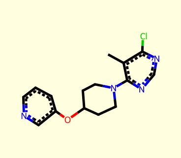 Cc1c(Cl)ncnc1N1CCC(Oc2cccnc2)CC1